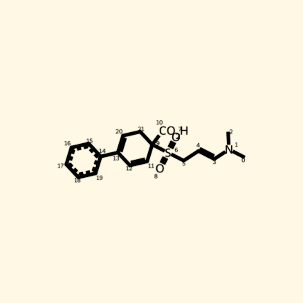 CN(C)C=CCS(=O)(=O)C1(C(=O)O)C=CC(c2ccccc2)=CC1